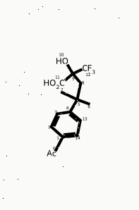 CC(=O)c1ccc(C(C)(C)CC(O)(C(=O)O)C(F)(F)F)cc1